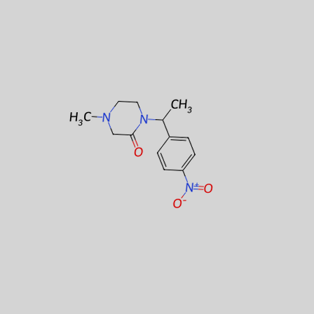 CC(c1ccc([N+](=O)[O-])cc1)N1CCN(C)CC1=O